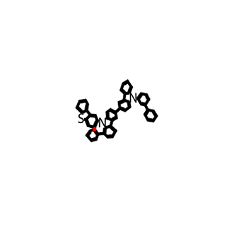 c1ccc(-c2cccc(-n3c4ccccc4c4cc(-c5ccc6c(c5)c5cccc(-c7ccccc7)c5n6-c5ccc6sc7ccccc7c6c5)ccc43)c2)cc1